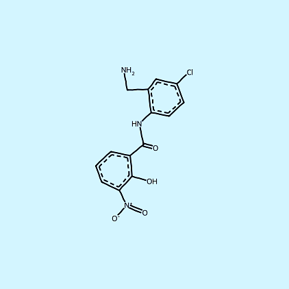 NCc1cc(Cl)ccc1NC(=O)c1cccc([N+](=O)[O-])c1O